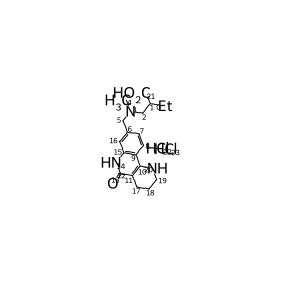 CCC(CN(C)Cc1ccc2c3c(c(=O)[nH]c2c1)CCCN3)C(=O)O.Cl.Cl